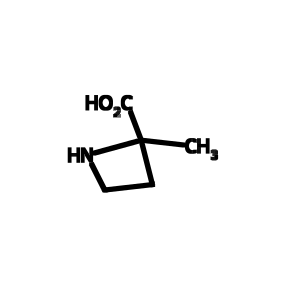 CC1(C(=O)O)CCN1